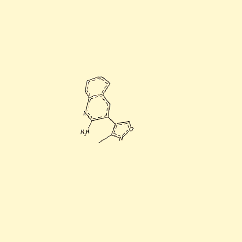 Cc1nocc1-c1cc2ccccc2nc1N